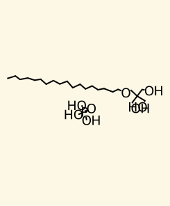 CCCCCCCCCCCCCCCCCCOCC(CO)(CO)CO.O=P(O)(O)O